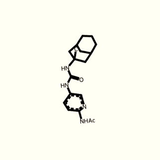 CC(=O)Nc1ccc(NC(=O)NC23CC4CCCC(C4)(C2)C3)cn1